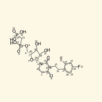 O=c1ccn([C@@H]2O[C@H](COP(=O)(O)CP(=O)(O)O)C(O)C2O)c(=O)n1CCc1ccc(F)cc1F